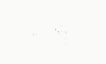 CCCNC(=O)CSc1nc(Cl)cc(Nc2cccc(C)c2C)n1